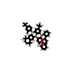 Cc1cc(C(C)(C)C)ccc1N1c2cc3c(cc2B2c4cc5oc6ccccc6c5cc4N(c4ccccc4-c4ccccc4)c4cc(C(C)(C)C)cc1c42)C(C)(C)CCC3(C)C